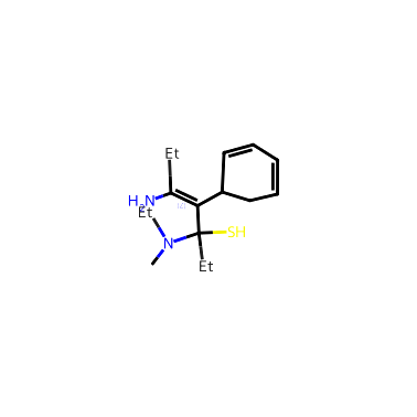 CC/C(N)=C(\C1C=CC=CC1)C(S)(CC)N(C)CC